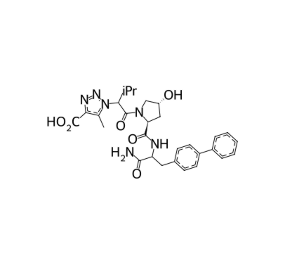 Cc1c(C(=O)O)nnn1C(C(=O)N1C[C@H](O)C[C@H]1C(=O)NC(Cc1ccc(-c2ccccc2)cc1)C(N)=O)C(C)C